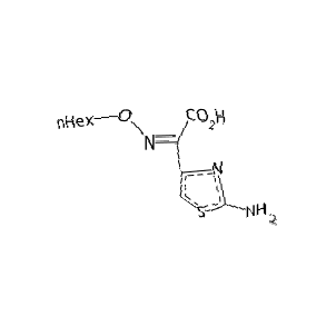 CCCCCCON=C(C(=O)O)c1csc(N)n1